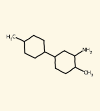 CC1CCC(C2CCC(C)C(N)C2)CC1